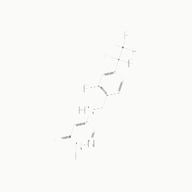 O=c1cc(NCc2ccc(C(F)(F)C(F)(F)F)cc2F)cn[nH]1